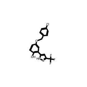 Oc1ccc(OCc2ccc(Cl)cc2)cc1-c1cc(C(F)(F)F)n[nH]1